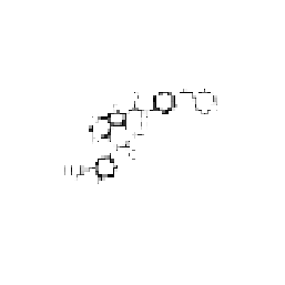 Bc1cc(N2C(=O)Nc3c(C(=O)Nc4ccc(CN5CCOCC5)cc4)sc4ncnc2c34)ccc1F